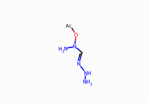 CC(=O)ON(N)C=NNN